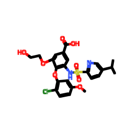 COc1ccc(Cl)c(Oc2c(NS(=O)(=O)c3ccc(C(C)C)cn3)cc(C(=O)O)cc2OCCO)c1